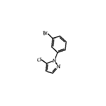 Clc1ccnn1-c1cccc(Br)c1